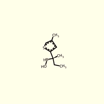 CC[C@](C)(BO)c1cc(C)cs1